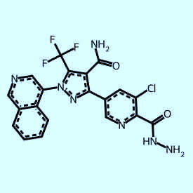 NNC(=O)c1ncc(-c2nn(-c3cncc4ccccc34)c(C(F)(F)F)c2C(N)=O)cc1Cl